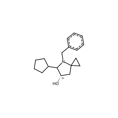 O[C@H]1CC2(CC2)N(Cc2ccccc2)C1C1CCCC1